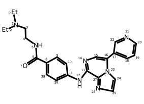 CCN(CC)CCNC(=O)c1ccc(Nc2ncc(-c3cccnc3)n3ccnc23)cc1